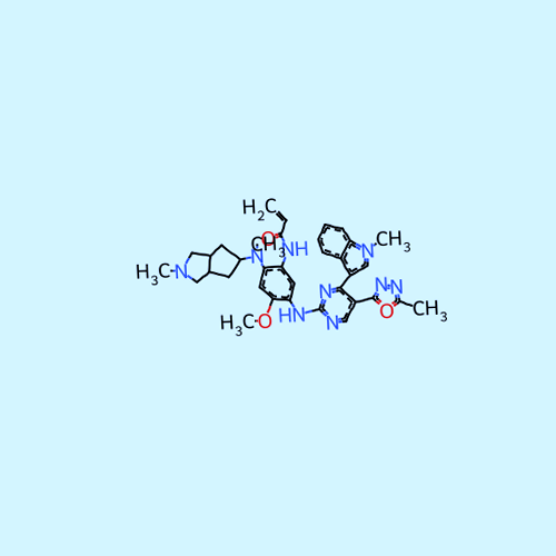 C=CC(=O)Nc1cc(Nc2ncc(-c3nnc(C)o3)c(-c3cn(C)c4ccccc34)n2)c(OC)cc1N(C)C1CC2CN(C)CC2C1